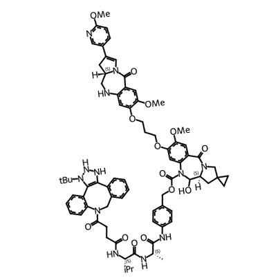 COc1ccc(C2=CN3C(=O)c4cc(OC)c(OCCCOc5cc6c(cc5OC)C(=O)N5CC7(CC7)C[C@H]5C(O)N6C(=O)OCc5ccc(NC(=O)[C@H](C)NC(=O)[C@@H](NC(=O)CCC(=O)N6Cc7ccccc7C7=C(c8ccccc86)N(C(C)(C)C)NN7)C(C)C)cc5)cc4NC[C@@H]3C2)cn1